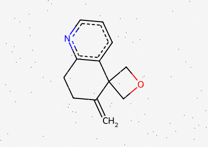 C=C1CCc2ncccc2C12COC2